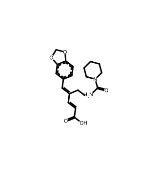 CCC(/C=C/C(=O)O)=C\c1ccc2c(c1)OCO2.NC(=O)N1CCCCC1